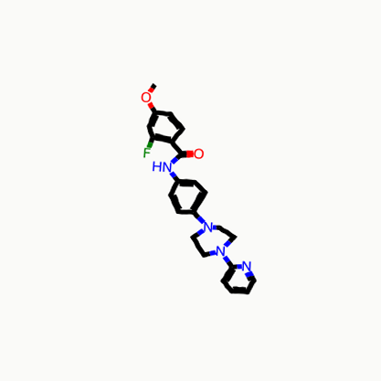 COc1ccc(C(=O)Nc2ccc(N3CCN(c4ccccn4)CC3)cc2)c(F)c1